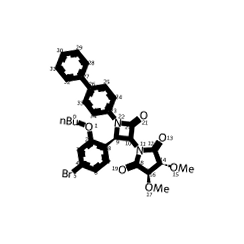 CCCCOc1cc(Br)ccc1[C@@H]1C(N2C(=O)[C@H](OC)[C@@H](OC)C2=O)C(=O)N1c1ccc(-c2ccccc2)cc1